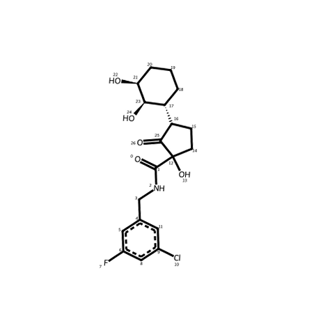 O=C(NCc1cc(F)cc(Cl)c1)C1(O)CCC([C@H]2CCC[C@H](O)[C@@H]2O)C1=O